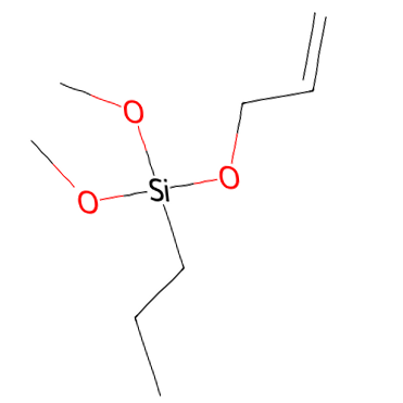 C=CCO[Si](CCC)(OC)OC